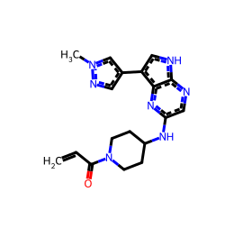 C=CC(=O)N1CCC(Nc2cnc3[nH]cc(-c4cnn(C)c4)c3n2)CC1